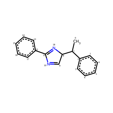 CC(c1ccccc1)C1C=NC(c2ccccc2)=N1